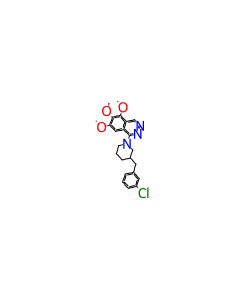 COc1cc2c(N3CCCC(Cc4cccc(Cl)c4)C3)nncc2c(OC)c1OC